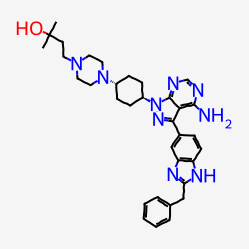 CC(C)(O)CCN1CCN([C@H]2CC[C@H](n3nc(-c4ccc5[nH]c(Cc6ccccc6)nc5c4)c4c(N)ncnc43)CC2)CC1